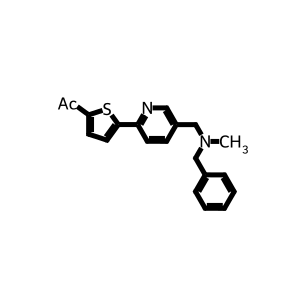 CC(=O)c1ccc(-c2ccc(CN(C)Cc3ccccc3)cn2)s1